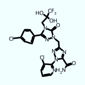 NC(=O)c1nc(Cn2nc(-c3ccc(Cl)cc3)n(CC(O)(O)C(F)(F)F)c2=O)nn1-c1ncccc1Cl